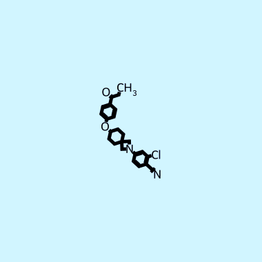 CCC(=O)c1ccc(OC2CCC3(CC2)CN(c2ccc(C#N)c(Cl)c2)C3)cc1